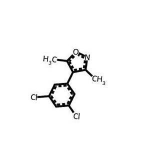 Cc1noc(C)c1-c1cc(Cl)cc(Cl)c1